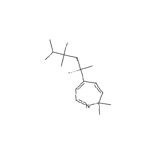 CC(C)C(C)(C)CC(C)(C)C1=CC=NC(C)(C)C=C1